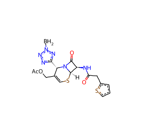 Bn1nnc([C@H]2C(COC(C)=O)=CS[C@@H]3[C@H](NC(=O)Cc4cccs4)C(=O)N23)n1